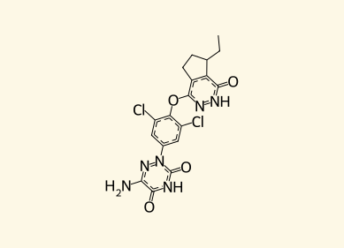 CCC1CCc2c(Oc3c(Cl)cc(-n4nc(N)c(=O)[nH]c4=O)cc3Cl)n[nH]c(=O)c21